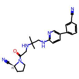 CC(C)(CNc1ccc(-c2cccc(C#N)c2)cn1)NCC(=O)N1CCC[C@H]1C#N